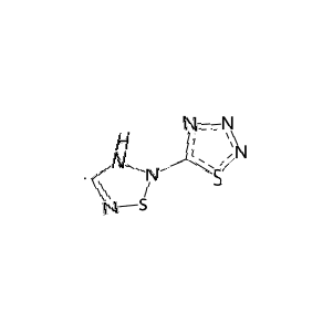 [C]1=NSN(c2nnns2)N1